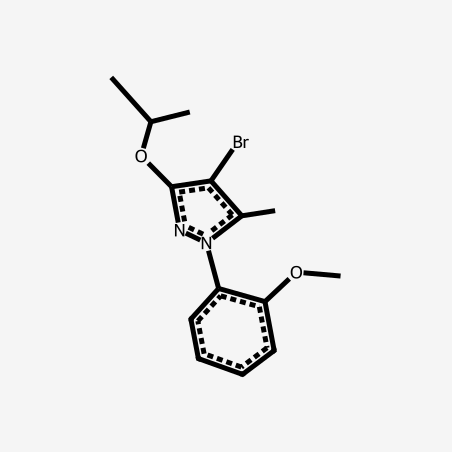 COc1ccccc1-n1nc(OC(C)C)c(Br)c1C